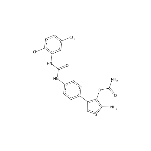 NC(=O)Oc1c(-c2ccc(NC(=O)Nc3cc(C(F)(F)F)ccc3Cl)cc2)csc1N